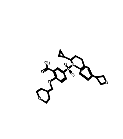 O=C(O)c1cc(S(=O)(=O)N2c3ccc(C4COC4)cc3CCC2C2CC2)ccc1OCC1CCOCC1